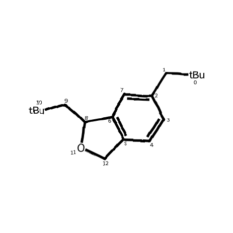 CC(C)(C)Cc1ccc2c(c1)C(CC(C)(C)C)OC2